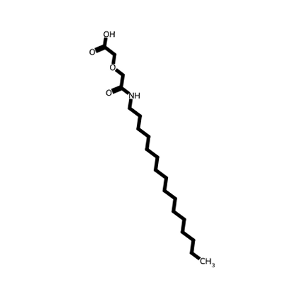 CCCCCCCCCCCCCCCCNC(=O)COCC(=O)O